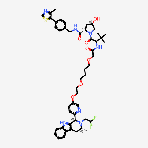 Cc1ncsc1-c1ccc(CNC(=O)[C@@H]2C[C@@H](O)CN2C(=O)C(NC(=O)COCCCCOCCOc2ccc([C@@H]3c4[nH]c5ccccc5c4C[C@@H](C)N3CC(F)F)nc2)C(C)(C)C)cc1